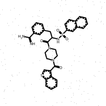 N=C(N)c1cccc(CC(NS(=O)(=O)c2ccc3ccccc3c2)C(=O)N2CCN(C(=O)c3csc4ccccc34)CC2)c1